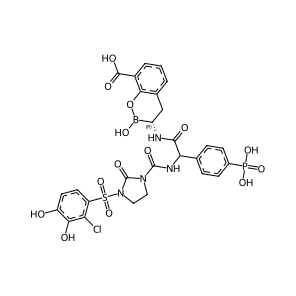 O=C(O)c1cccc2c1OB(O)[C@@H](NC(=O)C(NC(=O)N1CCN(S(=O)(=O)c3ccc(O)c(O)c3Cl)C1=O)c1ccc(P(=O)(O)O)cc1)C2